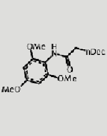 CCCCCCCCCCCC(=O)Nc1c(OC)cc(OC)cc1OC